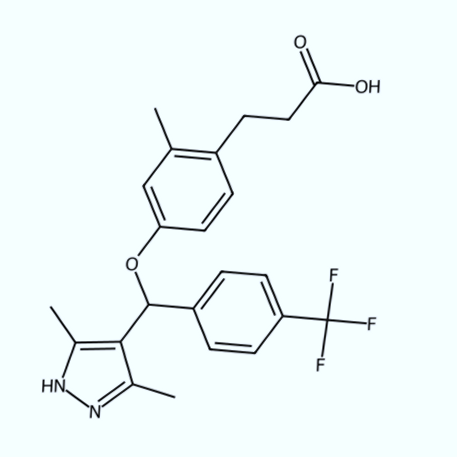 Cc1cc(OC(c2ccc(C(F)(F)F)cc2)c2c(C)n[nH]c2C)ccc1CCC(=O)O